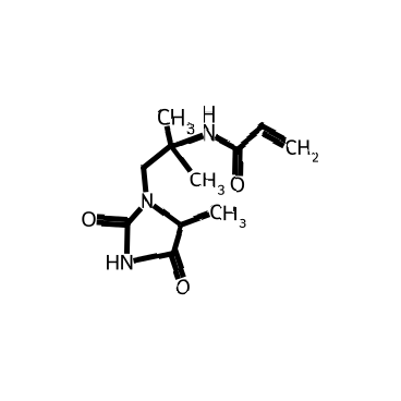 C=CC(=O)NC(C)(C)CN1C(=O)NC(=O)C1C